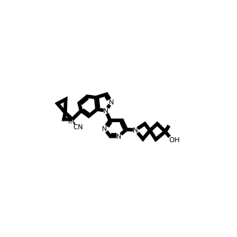 CC1(O)CC2(CN(c3cc(-n4ncc5ccc([C@@]6(C#N)CC67CC7)cc54)ncn3)C2)C1